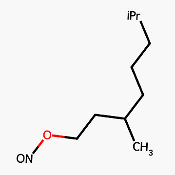 CC(C)CCCC(C)CCON=O